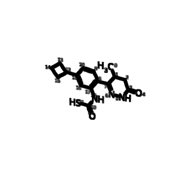 CC1CC(=O)NN=C1c1ccc(C2CCC2)cc1NC(=O)S